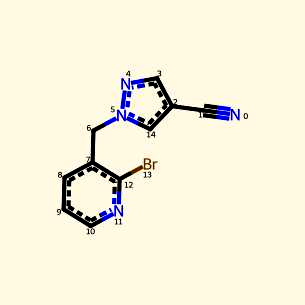 N#Cc1cnn(Cc2cccnc2Br)c1